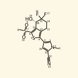 Cn1cc(-c2sc(S(C)(=O)=O)c3c2CCC(F)(F)[C@H]3O)cc1C#N